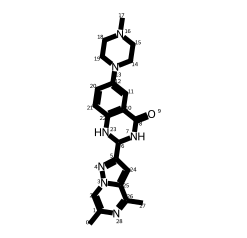 Cc1cn2nc(C3NC(=O)c4cc(N5CCN(C)CC5)ccc4N3)cc2c(C)n1